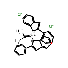 C[Si](C)=[Zr+2]([C@@H]1C(c2ccccc2)=Cc2ccccc21)[C@H]1C(c2ccccc2)=Cc2ccccc21.[Cl-].[Cl-]